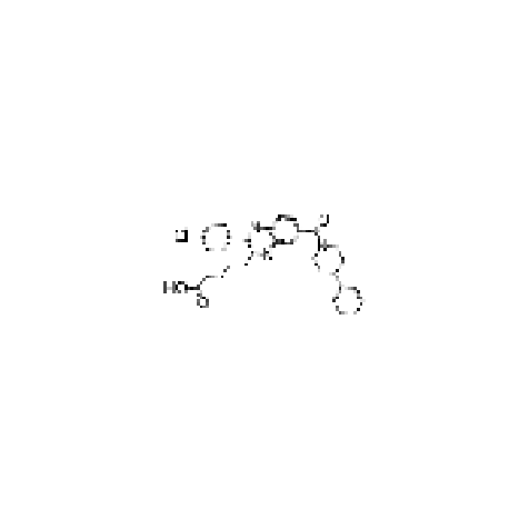 O=C(O)CCCCc1nc2cc(C(=O)N3CCC(C4=CCCC=C4)CC3)ccc2nc1-c1ccc(Cl)cc1